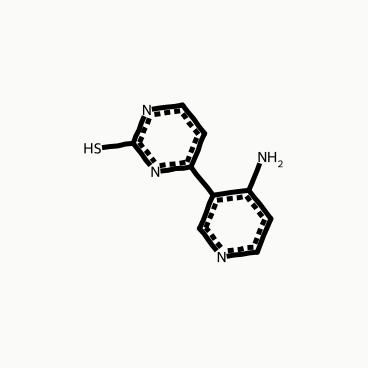 Nc1ccncc1-c1ccnc(S)n1